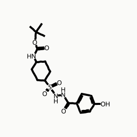 CC(C)(C)OC(=O)NC1CCC(S(=O)(=O)NNC(=O)c2ccc(O)cc2)CC1